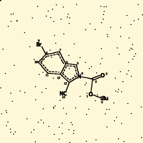 CC(C)(C)OC(=O)n1cc2cc(Br)ccc2c1C#N